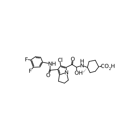 C[C@]1(NC(O)C(=O)c2c(Cl)c(C(=O)Nc3ccc(F)c(F)c3)c3n2CCC3)CC[C@@H](C(=O)O)CC1